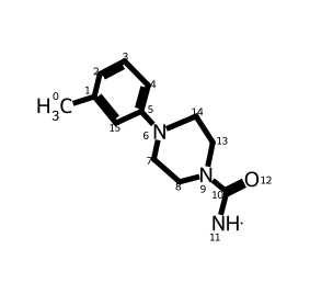 Cc1cccc(N2CCN(C([NH])=O)CC2)c1